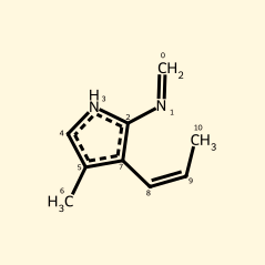 C=Nc1[nH]cc(C)c1/C=C\C